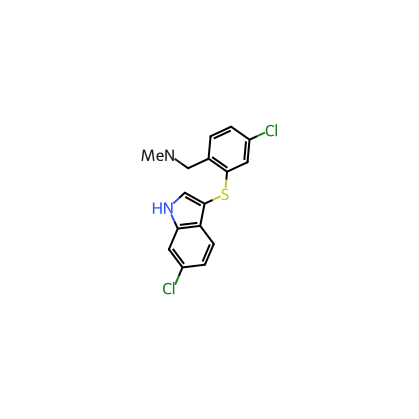 CNCc1ccc(Cl)cc1Sc1c[nH]c2cc(Cl)ccc12